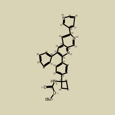 CC(C)(C)OC(=O)NC1(c2ccc(-c3nc4cnc(-c5cccnc5)cc4cc3-c3ccccc3)cc2)CCC1